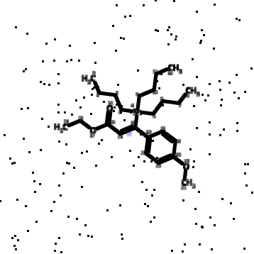 CCC[CH2][Sn]([CH2]CCC)([CH2]CCC)/[C](=C\C(=O)OCC)c1ccc(OC)cc1